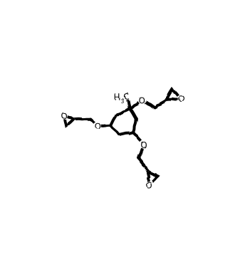 CC1(OCC2CO2)CC(OCC2CO2)CC(OCC2CO2)C1